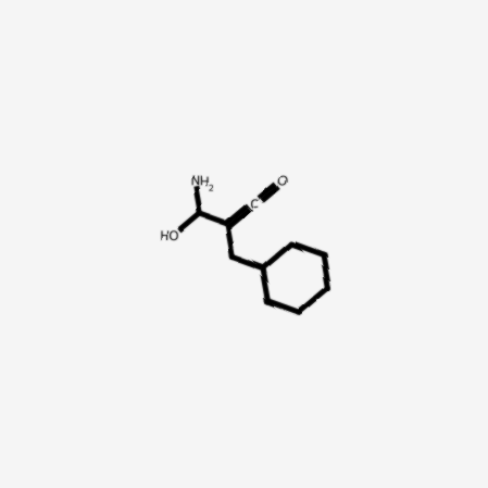 NC(O)C(=C=O)CC1CCCCC1